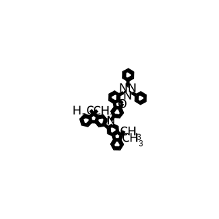 CC1(C)c2ccccc2-c2cc3c4cc5c(cc4n(-c4ccc6oc7c(-c8nc(-c9ccccc9)nc(-c9ccccc9)n8)cccc7c6c4)c3cc21)C(C)(C)c1ccccc1-5